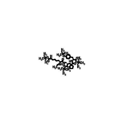 CCN[C@@H](CCCCNC(=O)OC(C)(C)C)C(=O)NC[C@H](CC1(C(=O)N[C@@H](Cc2ccc(OC(C)(C)C)cc2)C(=O)OC(C)(C)C)CCCC1)C(=O)OC(C)(C)C